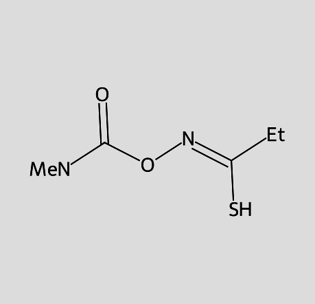 CCC(S)=NOC(=O)NC